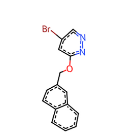 Brc1cnnc(OCc2ccc3ccccc3c2)c1